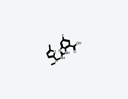 CC[C@@H](Nc1nc2cc(F)cc(C(=O)O)c2[nH]1)c1ccc(C)o1